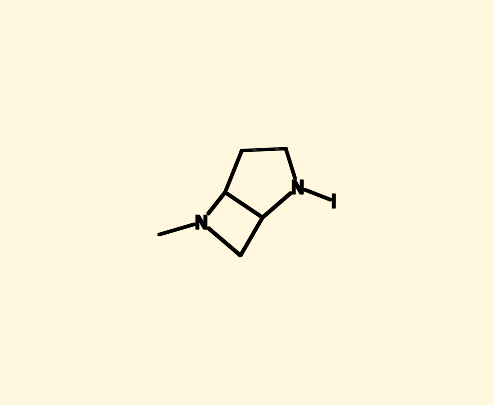 CN1CC2C1CCN2I